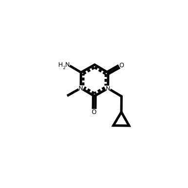 Cn1c(N)cc(=O)n(CC2CC2)c1=O